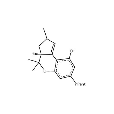 CCCCCc1cc(O)c2c(c1)OC(C)(C)[C@@H]1CC(C)C=C21